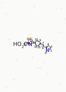 Cn1cccc1/C=C/c1ccc(C2=N[C@@H](C(=O)O)CS2)cc1